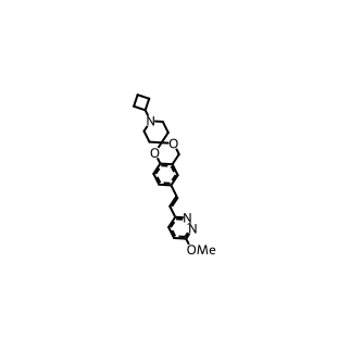 COc1ccc(/C=C/c2ccc3c(c2)COC2(CCN(C4CCC4)CC2)O3)nn1